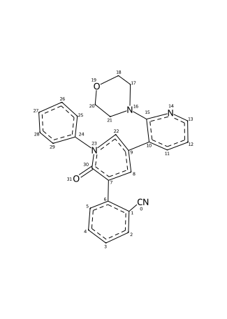 N#Cc1ccccc1-c1cc(-c2cccnc2N2CCOCC2)cn(-c2ccccc2)c1=O